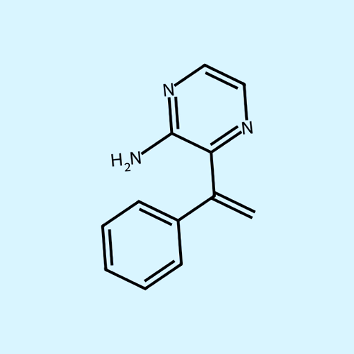 C=C(c1ccccc1)c1nccnc1N